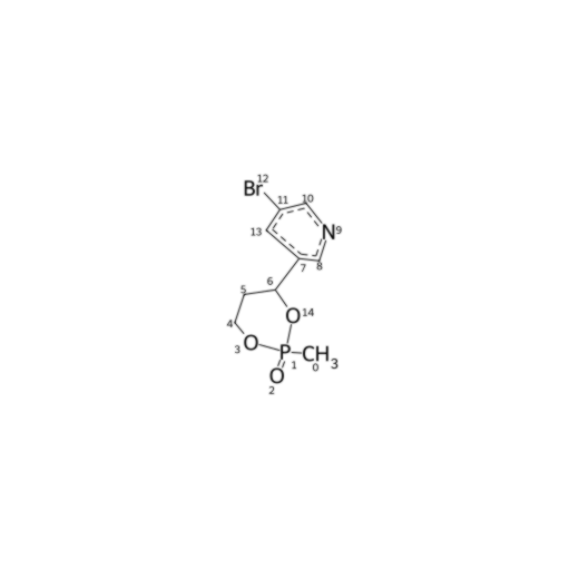 CP1(=O)OCCC(c2cncc(Br)c2)O1